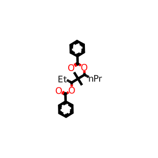 CCCC(OC(=O)c1ccccc1)C(C)(C)C(CC)OC(=O)c1ccccc1